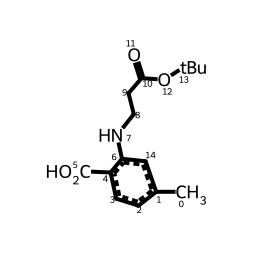 Cc1ccc(C(=O)O)c(NCCC(=O)OC(C)(C)C)c1